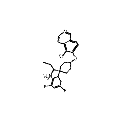 CCC(N)[C@]1(C2C=C(F)C=C(F)C2)CC[C@H](Oc2ccc3cnccc3c2Cl)CC1